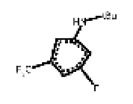 CC(C)(C)Nc1cc(F)cc(C(F)(F)F)c1